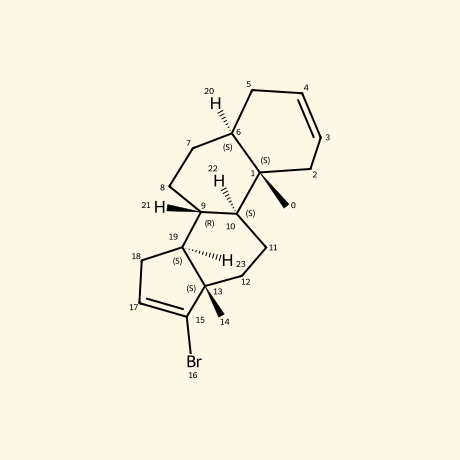 C[C@]12CC=CC[C@@H]1CC[C@@H]1[C@@H]2CC[C@]2(C)C(Br)=CC[C@@H]12